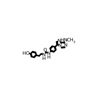 CNc1nccn2c(-c3ccc(NC(=O)NCCc4ccc(O)cc4)cc3)cnc12